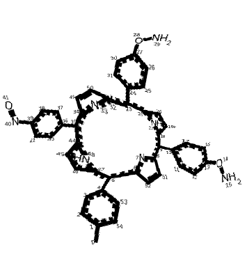 Cc1ccc(-c2c3nc(c(-c4ccc(ON)cc4)c4ccc([nH]4)c(-c4ccc(ON)cc4)c4nc(c(-c5ccc(N=O)cc5)c5ccc2[nH]5)C=C4)C=C3)cc1